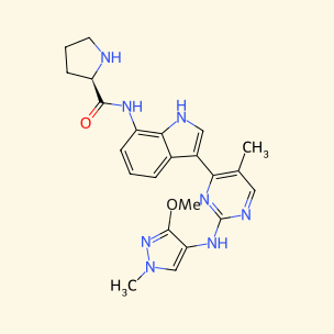 COc1nn(C)cc1Nc1ncc(C)c(-c2c[nH]c3c(NC(=O)[C@H]4CCCN4)cccc23)n1